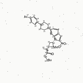 COC(=O)c1cc2ccc(N3CCN(c4ccc(C(C)=O)cc4)CC3)nc2n1[C@H]1C[C@H](N(C)C(=O)OC(C)(C)C)C1